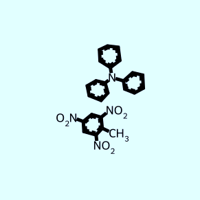 Cc1c([N+](=O)[O-])cc([N+](=O)[O-])cc1[N+](=O)[O-].c1ccc(N(c2ccccc2)c2ccccc2)cc1